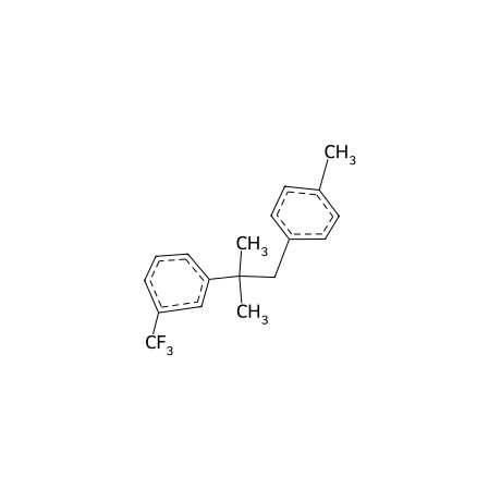 Cc1ccc(CC(C)(C)c2cccc(C(F)(F)F)c2)cc1